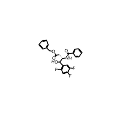 O=C(C[C@H](NC(=O)c1ccccc1)C(O)c1cc(F)c(F)cc1F)OCc1ccccc1